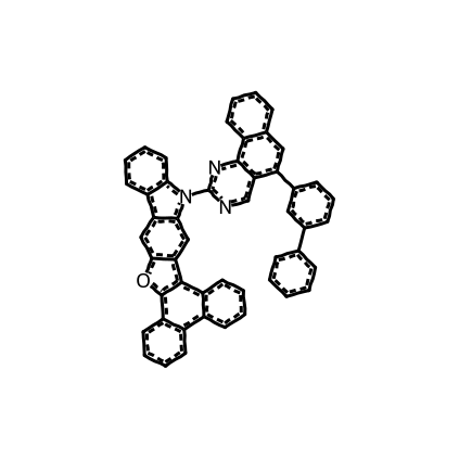 c1ccc(-c2cccc(-c3cc4ccccc4c4nc(-n5c6ccccc6c6cc7oc8c9ccccc9c9ccccc9c8c7cc65)ncc34)c2)cc1